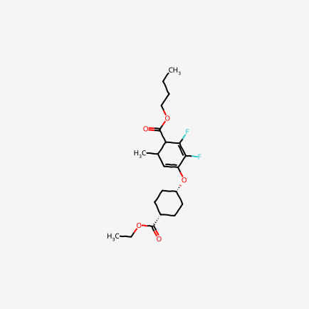 CCCCOC(=O)C1C(F)=C(F)C(O[C@H]2CC[C@@H](C(=O)OCC)CC2)=CC1C